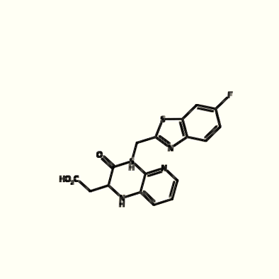 O=C(O)CC1Nc2cccnc2[SH](Cc2nc3ccc(F)cc3s2)C1=O